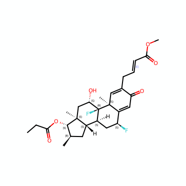 CCC(=O)O[C@H]1[C@H](C)C[C@H]2[C@@H]3C[C@H](F)C4=CC(=O)C(C/C=C/C(=O)OC)=C[C@]4(C)[C@@]3(F)[C@@H](O)C[C@@]21C